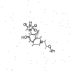 CC(C)OCCN1CCc2cc(O)c(N3CC(=O)NS3(=O)=O)c(F)c2C1